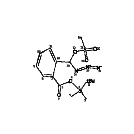 CC(C)(C)[Si](C)(C)OC(=O)c1ccccc1C(N=[N+]=[N-])OS(C)(=O)=O